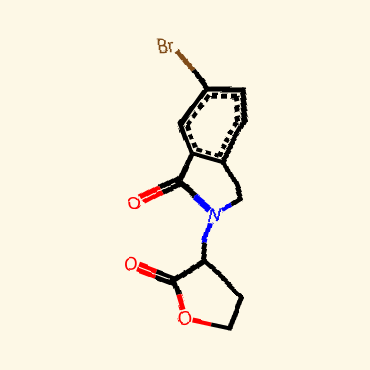 O=C1OCCC1N1Cc2ccc(Br)cc2C1=O